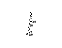 C=CCOCC(O)CNCCCS(=O)(=O)O